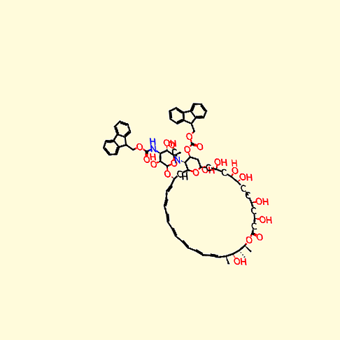 C[C@@H]1[C@H](O)[C@@H](C)/C=C/C=C/C=C/C=C/C=C/C=C/C=C/[C@H](O[C@@H]2O[C@H](C)[C@@H](O)[C@H](NC(=O)OCC3c4ccccc4-c4ccccc43)[C@@H]2O)C[C@@H]2O[C@](O)(C[C@@H](O)C[C@@H](O)[C@H](O)CC[C@@H](O)C[C@@H](O)CC(=O)O[C@H]1C)C[C@H](OC(=O)OCC1c3ccccc3-c3ccccc31)[C@H]2N=C=O